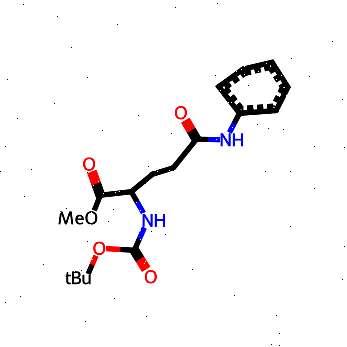 COC(=O)C(CCC(=O)Nc1ccccc1)NC(=O)OC(C)(C)C